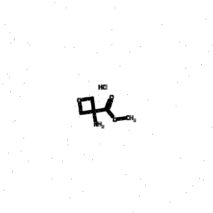 COC(=O)C1(N)COC1.Cl